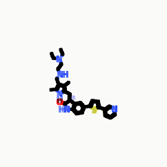 CCN(CC)CCNCc1c(C)[nH]c(/C=C2\C(=O)Nc3ccc(-c4ccc(-c5cccnc5)s4)cc32)c1C